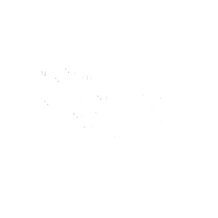 CC(NC(=O)c1cc(C(F)(F)F)cc(S(=O)(=O)C2CC2)c1)c1nccnc1-n1nccn1